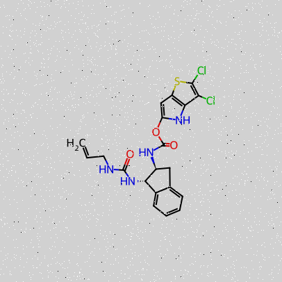 C=CCNC(=O)N[C@H]1c2ccccc2C[C@@H]1NC(=O)Oc1cc2sc(Cl)c(Cl)c2[nH]1